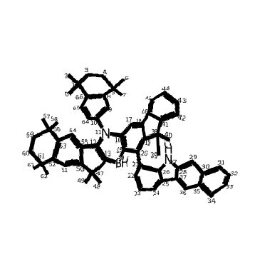 CC1(C)CCC(C)(C)c2cc(N3C4=C(Bc5c3cc3c(c5-c5cccc6c5[nH]c5cc7ccccc7cc56)C(C)(C)c5ccccc5-3)C(C)(C)c3cc5c(cc34)C(C)(C)CCC5(C)C)ccc21